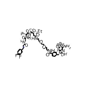 CCCCOc1nc(N)c2nc(O)n(Cc3ccc(C(=O)NCCOCCOCCNC(=O)CC[C@@H](NC(=O)[C@@H](NC(=O)CNC(=O)/C=C/c4ccc(F)c(F)c4)C(C)C)C(=O)OCC)cc3)c2n1